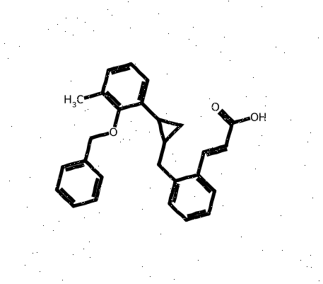 Cc1cccc(C2CC2Cc2ccccc2/C=C/C(=O)O)c1OCc1ccccc1